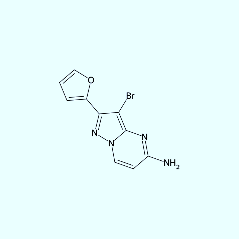 Nc1ccn2nc(-c3ccco3)c(Br)c2n1